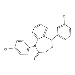 S=C1CSC(c2cccc(Cl)c2)c2c[c]ccc2N1c1ccc(Cl)cc1